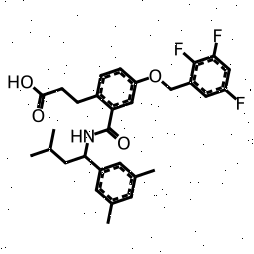 Cc1cc(C)cc(C(CC(C)C)NC(=O)c2cc(OCc3cc(F)cc(F)c3F)ccc2CCC(=O)O)c1